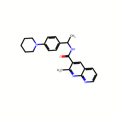 Cc1nc2ncccc2cc1C(=O)NC(C)c1ccc(N2CCCCC2)cc1